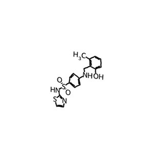 Cc1cccc(O)c1CNc1ccc(S(=O)(=O)Nc2nccs2)cc1